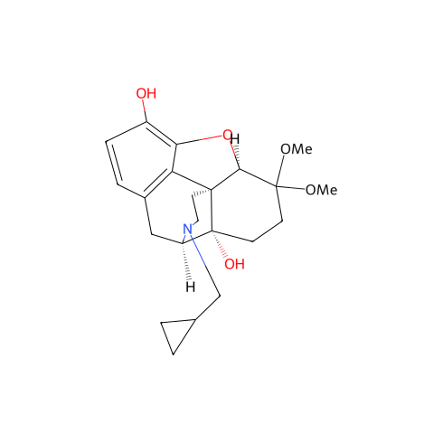 COC1(OC)CC[C@@]2(O)[C@H]3Cc4ccc(O)c5c4[C@@]2(CCN3CC2CC2)[C@H]1O5